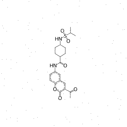 CC(=O)c1cc2cc(NC(=O)C3CCC(NS(=O)(=O)C(C)C)CC3)ccc2oc1=O